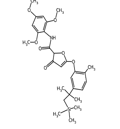 COc1cc(OC)c(NC(=O)C2OC(Oc3cc(C(C)(C)C[Si](C)(C)C)ccc3C)=CC2=O)c(OC)c1